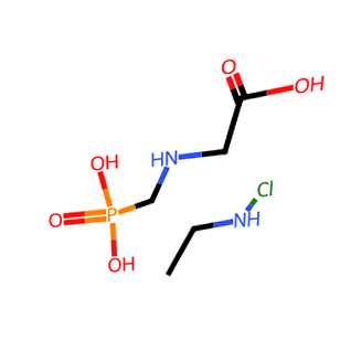 CCNCl.O=C(O)CNCP(=O)(O)O